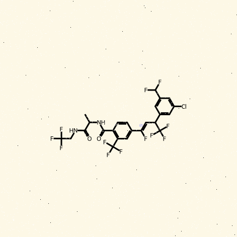 CC(NC(=O)c1ccc(/C(F)=C/C(c2cc(Cl)cc(C(F)F)c2)C(F)(F)F)cc1C(F)(F)F)C(=O)NCC(F)(F)F